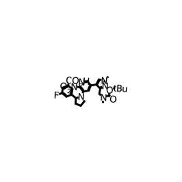 CN(Cc1nn(C)cc1-c1cnc([N+](=O)[O-])c(N2CCCC2c2cc(F)cc(C(=O)O)c2)c1)C(=O)OC(C)(C)C